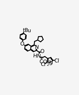 CC(C)(C)c1ccc(Oc2ccc3cc(C(=O)N[C@@H](Cc4cc(Cl)sc4Cl)C(=O)O)nc(CC4CCCC4)c3c2)cc1